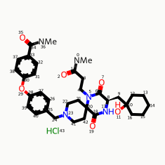 CNC(=O)CCN1C(=O)[C@@H](CC2(O)CCCCC2)NC(=O)C12CCN(Cc1ccc(Oc3ccc(C(=O)NC)cc3)cc1)CC2.Cl